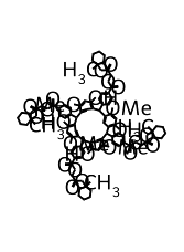 COc1cc(O)c2cc1C(c1ccc(C(=O)OCC(=O)OC3(C)CCCCC3)cc1)c1cc(c(OC)cc1O)C(c1ccc(C(=O)OCC(=O)OC3(C)CCCCC3)cc1)c1cc(c(OC)cc1O)C(c1ccc(C(=O)OCC(=O)OC3(C)CCCCC3)cc1)c1cc(c(OC)cc1O)C2c1ccc(C(=O)OCC(=O)OC2(C)CCCCC2)cc1